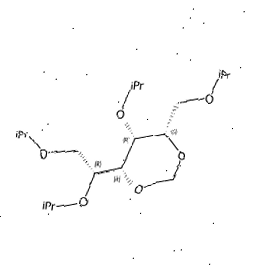 CC(C)OC[C@@H]1OCO[C@H]([C@@H](COC(C)C)OC(C)C)[C@@H]1OC(C)C